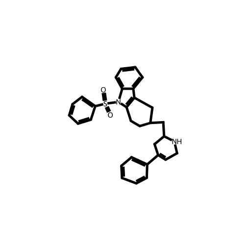 O=S(=O)(c1ccccc1)n1c2c(c3ccccc31)CC(CC1CC(c3ccccc3)=CCN1)CC2